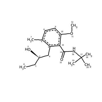 CC[C@@H](O)Cc1c(C)ccc(OC)c1C(=O)NC(C)(C)C